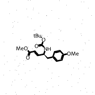 COC(=O)/C=C/[C@H](Cc1ccc(OC)cc1)NC(=O)OC(C)(C)C